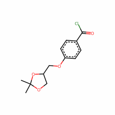 CC1(C)OCC(COc2ccc(C(=O)Cl)cc2)O1